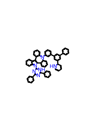 C1=CNC(c2cc(-c3ccccc3)cc(-c3cccc(N4c5ccccc5-c5c(n(C6N=C(c7ccccc7)N=C(c7ccccc7)N6)c6ccccc56)-c5ccccc54)c3)c2)C=C1